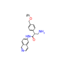 CC(C)OCc1ccc(C(CN)C(=O)Nc2ccc3cnccc3c2)cc1